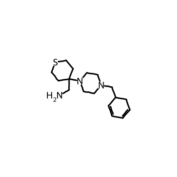 NCC1(N2CCN(CC3C=CC=CC3)CC2)CCSCC1